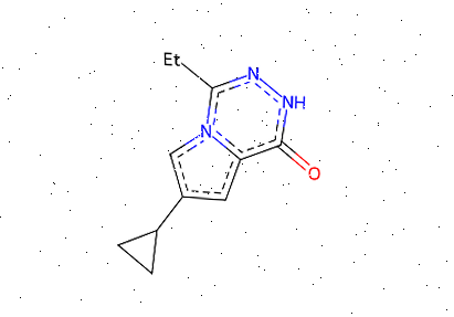 CCc1n[nH]c(=O)c2cc(C3CC3)cn12